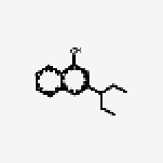 CCC(CC)c1cc(O)c2ccccc2c1